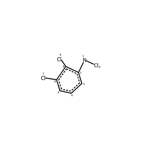 Cl[N]c1cccc(Cl)c1Cl